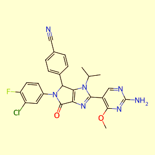 COc1nc(N)ncc1-c1nc2c(n1C(C)C)C(c1ccc(C#N)cc1)N(c1ccc(F)c(Cl)c1)C2=O